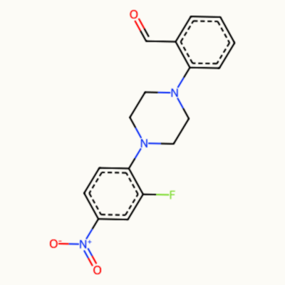 O=Cc1ccccc1N1CCN(c2ccc([N+](=O)[O-])cc2F)CC1